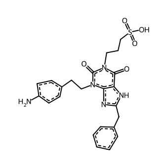 Nc1ccc(CCn2c(=O)n(CCCS(=O)(=O)O)c(=O)c3[nH]c(Cc4ccccc4)nc32)cc1